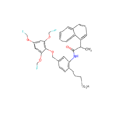 CC(C(=O)Nc1cc(COc2c(OCF)cc(OCF)cc2OCF)ccc1CCCC(=O)O)c1cccc2ccccc12